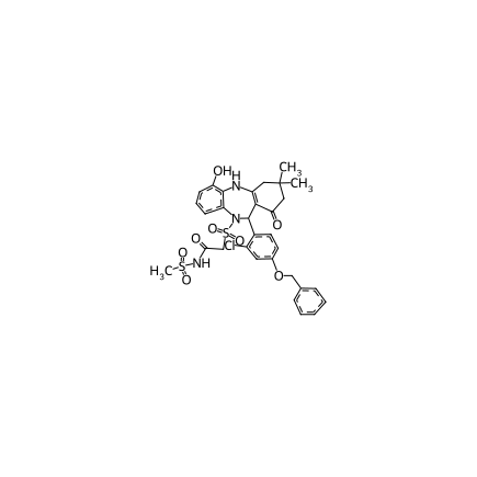 CC1(C)CC(=O)C2=C(C1)Nc1c(O)cccc1N(S(=O)(=O)CC(=O)NS(C)(=O)=O)C2c1ccc(OCc2ccccc2)cc1Cl